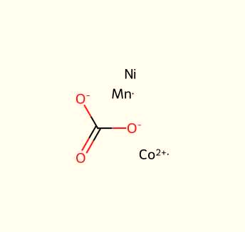 O=C([O-])[O-].[Co+2].[Mn].[Ni]